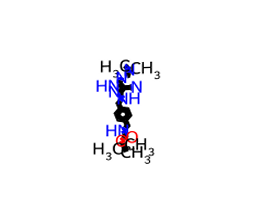 CN(C)C=Nc1[nH]nc(NCc2ccc(CNC(=O)OC(C)(C)C)cc2)c1C#N